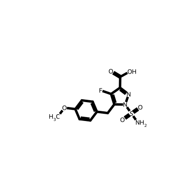 COc1ccc(Cc2c(F)c(C(=O)O)nn2S(N)(=O)=O)cc1